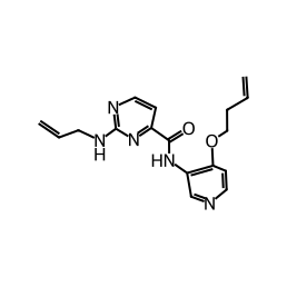 C=CCCOc1ccncc1NC(=O)c1ccnc(NCC=C)n1